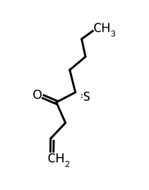 C=CCC(=O)CCCCC.[S]